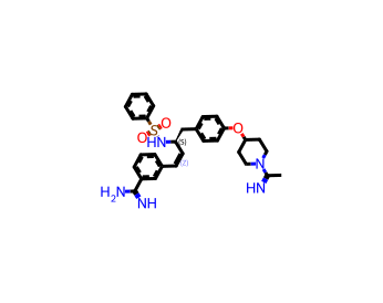 CC(=N)N1CCC(Oc2ccc(C[C@@H](/C=C\c3cccc(C(=N)N)c3)NS(=O)(=O)c3ccccc3)cc2)CC1